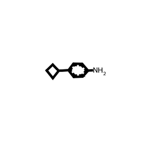 Nc1[c]cc(C2CCC2)cc1